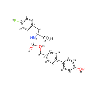 O=C(NC(Cc1ccc(F)cc1)C(=O)O)OCc1ccc(-c2ccc(O)cc2)cc1